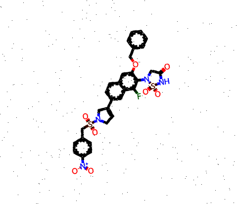 O=C1CN(c2c(OCc3ccccc3)cc3ccc(C4=CCN(S(=O)(=O)Cc5ccc([N+](=O)[O-])cc5)C4)cc3c2F)S(=O)(=O)N1